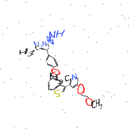 CC#C[C@@H](C/C(N)=N/N=N)c1ccc(OCc2ccc3scc(-c4cc(OCCOC)cnc4C)c3c2)cc1